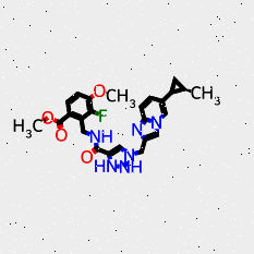 COC(=O)c1ccc(OC)c(F)c1CNC(=O)C1=CN(Cc2cn3cc(C4C[C@H]4C)ccc3n2)NN1